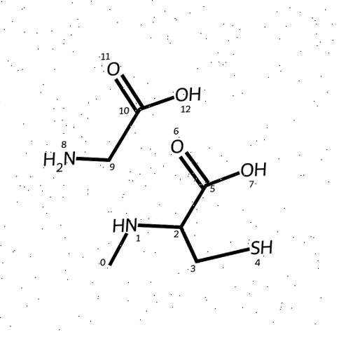 CNC(CS)C(=O)O.NCC(=O)O